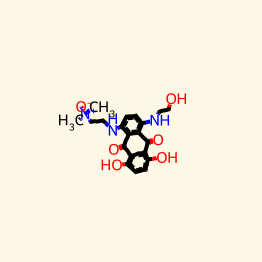 C[N+](C)([O-])CCNc1ccc(NCCO)c2c1C(=O)c1c(O)ccc(O)c1C2=O